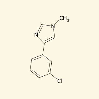 Cn1cnc(-c2cccc(Cl)c2)c1